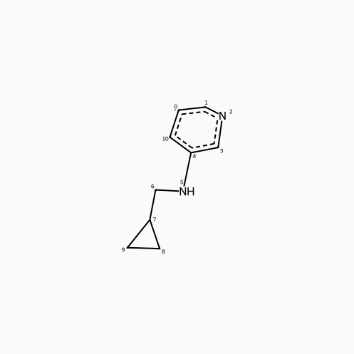 [c]1cncc(NCC2CC2)c1